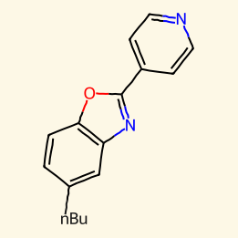 CCCCc1ccc2oc(-c3ccncc3)nc2c1